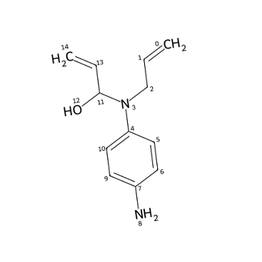 C=CCN(c1ccc(N)cc1)C(O)C=C